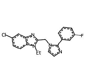 CCn1c(Cn2ccnc2-c2cccc(F)c2)nc2cc(Cl)ccc21